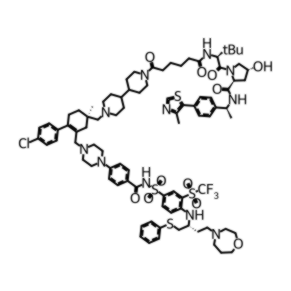 Cc1ncsc1-c1ccc([C@H](C)NC(=O)[C@@H]2C[C@@H](O)CN2C(=O)[C@@H](NC(=O)CCCCC(=O)N2CCC(C3CCN(C[C@]4(C)CCC(c5ccc(Cl)cc5)=C(CN5CCN(c6ccc(C(=O)NS(=O)(=O)c7ccc(N[C@H](CCN8CCCOCC8)CSc8ccccc8)c(S(=O)(=O)C(F)(F)F)c7)cc6)CC5)C4)CC3)CC2)C(C)(C)C)cc1